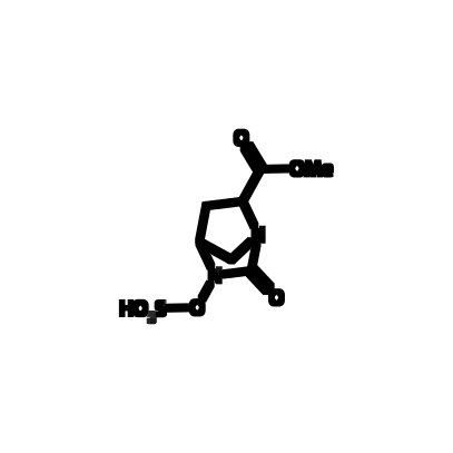 COC(=O)C1CC2CN1C(=O)N2OS(=O)(=O)O